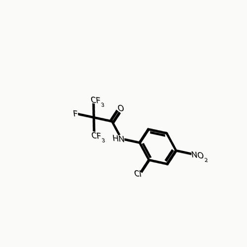 O=C(Nc1ccc([N+](=O)[O-])cc1Cl)C(F)(C(F)(F)F)C(F)(F)F